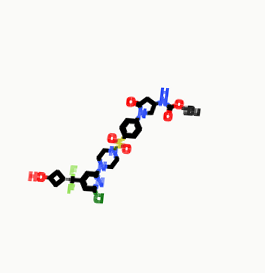 CC(C)(C)OC(=O)N[C@@H]1CC(=O)N(c2ccc(S(=O)(=O)N3CCN(c4cc(C(F)(F)[C@H]5C[C@H](O)C5)cc(Cl)n4)CC3)cc2)C1